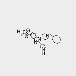 CS(=O)(=O)c1ccc2c(c1)nc(C1CCNC1)n2C1CCN(CC2CCCCCCC2)CC1